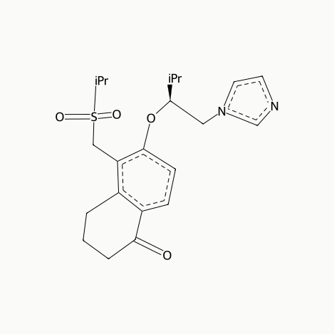 CC(C)[C@@H](Cn1ccnc1)Oc1ccc2c(c1CS(=O)(=O)C(C)C)CCCC2=O